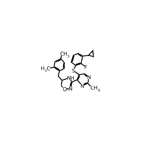 Cc1ccc(CC2CON=C(c3nc(C)ncc3Sc3cccc(C4CC4)c3F)N2)c(C)c1